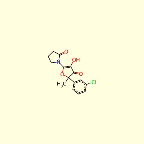 CC1(c2cccc(Cl)c2)OC(N2CCCC2=O)=C(O)C1=O